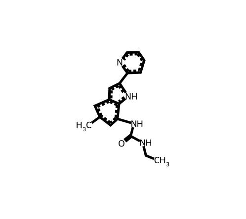 CCNC(=O)Nc1cc(C)cc2cc(-c3ccccn3)[nH]c12